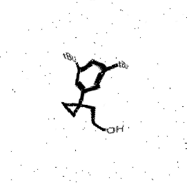 CC(C)(C)c1cc(C(C)(C)C)cc(C2(CCO)CC2)c1